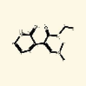 CCOC(=O)C(=CN(C)C)c1ccc[nH]c1=O